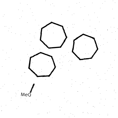 C1CCCCCC1.C1CCCCCC1.C1CCCCCC1.COC